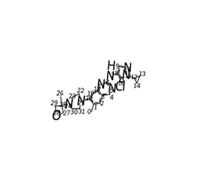 Cc1cc2cnc(Nc3cnn(C4CC4)c3Cl)nc2cc1N1CCN(C2(C)COC2)CC1